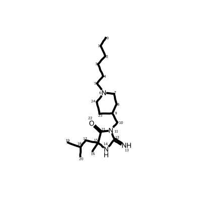 CCCCCCN1CCC(CN2C(=N)NC(C)(CC(C)C)C2=O)CC1